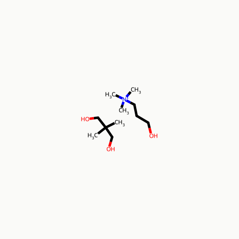 CC(C)(CO)CO.C[N+](C)(C)CCCO